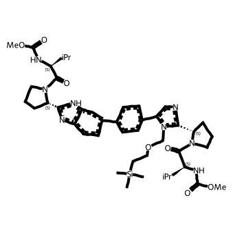 COC(=O)N[C@H](C(=O)N1CCC[C@H]1c1nc2ccc(-c3ccc(-c4cnc([C@@H]5CCCN5C(=O)[C@@H](NC(=O)OC)C(C)C)n4COCC[Si](C)(C)C)cc3)cc2[nH]1)C(C)C